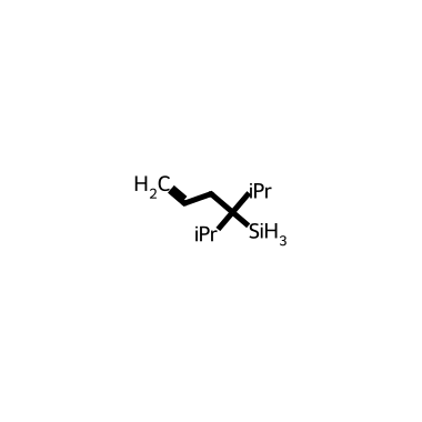 C=CCC([SiH3])(C(C)C)C(C)C